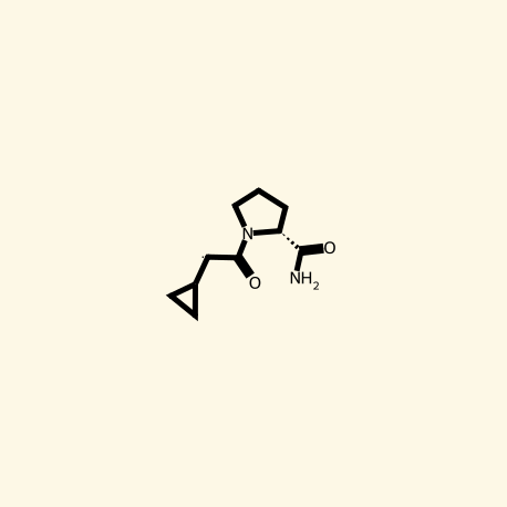 NC(=O)[C@H]1CCCN1C(=O)[CH]C1CC1